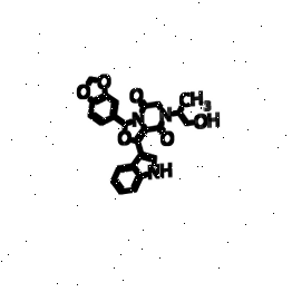 CC(CO)N1CC(=O)N2C(=C(c3c[nH]c4ccccc34)OC2c2ccc3c(c2)OCO3)C1=O